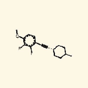 COc1ccc(C#C[C@H]2CC[C@H](C)CC2)c(F)c1F